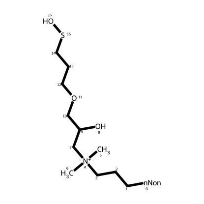 CCCCCCCCCCCC[N+](C)(C)CC(O)COCCCSO